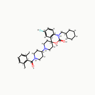 Cc1cccc(C)c1C(=O)N1CCC(N2CCC3(CC2)OC(=O)N(CC2CCCCC2)c2ccc(F)cc23)CC1